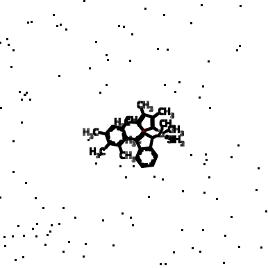 CC1=C(C)C(C)[C]([Zr]([CH3])([CH3])(=[SiH2])[CH]2C=C(c3c(C)cc(C)c(C)c3C)c3ccccc32)=C1C